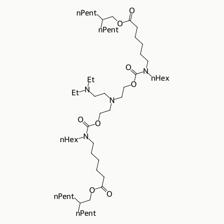 CCCCCCN(CCCCCC(=O)OCC(CCCCC)CCCCC)C(=O)OCCN(CCOC(=O)N(CCCCCC)CCCCCC(=O)OCC(CCCCC)CCCCC)CCN(CC)CC